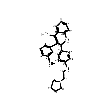 CC1=C(c2cccc(O)c2)C(c2cnc(OCCN3CCCC3)cn2)Oc2ccccc21